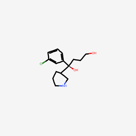 OCCC[C@@](O)(c1cccc(Cl)c1)C1CCCNC1